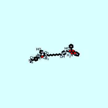 Cc1ncsc1-c1ccc(CNC(=O)[C@@H]2C[C@@H](O)CN2C(=O)[C@@H](NC(=O)CCCCCCCCC(O)N2CCN(CCOc3ccc(N4C5CCC4CN(c4cc(-c6ccccc6O)nnc4N)C5)cc3)CC2)C(C)(C)C)cc1